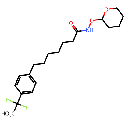 O=C(CCCCCCc1ccc(C(F)(F)C(=O)O)cc1)NOC1CCCCO1